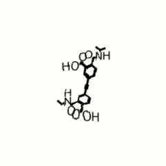 CCNC(=O)c1cc(C#Cc2ccc(C(=O)NC(C)C)c(C(=O)O)c2)ccc1C(=O)O